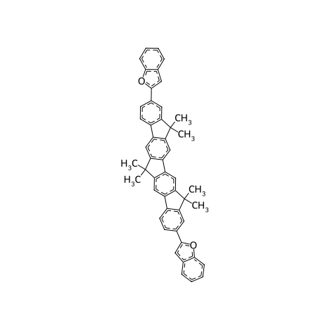 CC1(C)c2cc(-c3cc4ccccc4o3)ccc2-c2cc3c(cc21)-c1cc2c(cc1C3(C)C)-c1ccc(-c3cc4ccccc4o3)cc1C2(C)C